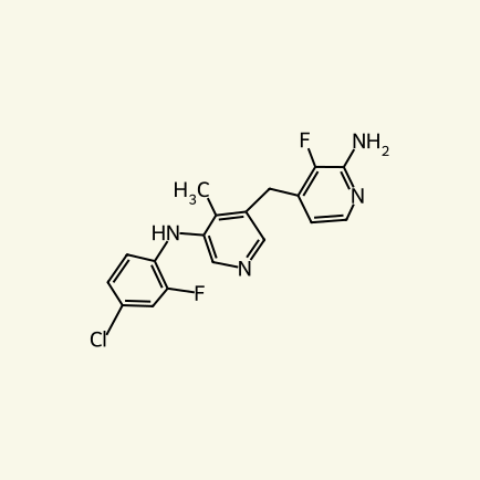 Cc1c(Cc2ccnc(N)c2F)cncc1Nc1ccc(Cl)cc1F